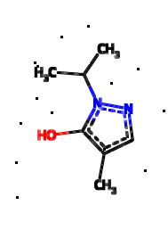 Cc1cnn(C(C)C)c1O